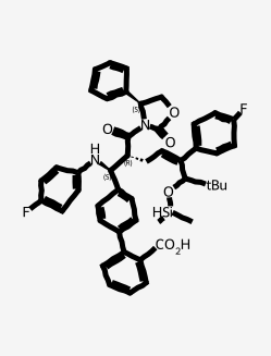 C[SiH](C)OC(C(=CC[C@@H](C(=O)N1C(=O)OC[C@@H]1c1ccccc1)[C@H](Nc1ccc(F)cc1)c1ccc(-c2ccccc2C(=O)O)cc1)c1ccc(F)cc1)C(C)(C)C